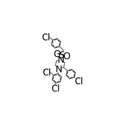 O=S(=O)(Cc1ccc(Cl)cc1)N1CCN(c2ccc(Cl)cc2Cl)C(c2ccc(Cl)cc2)C1